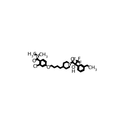 CCc1cccc(C(O)(C(=O)N2CCC(CCCCOc3ccc(C(=O)N(C)C)c(Cl)c3)CC2)C(F)(F)F)c1